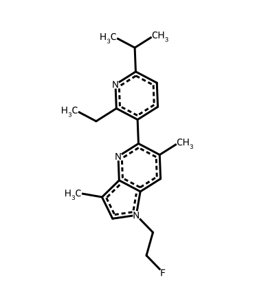 CCc1nc(C(C)C)ccc1-c1nc2c(C)cn(CCF)c2cc1C